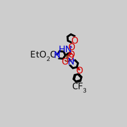 CCOC(=O)N1CCC(C(=O)NOC2CCCCO2)(S(=O)(=O)N2CCC(Oc3ccc(C(F)(F)F)cc3)CC2)CC1